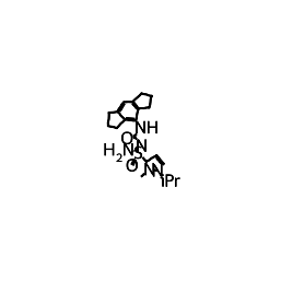 CC(C)N1C=CC(S(N)(=O)=NC(=O)Nc2c3c(cc4c2CCC4)CCC3)N1C